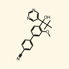 COc1cc(-c2ccc(C#N)cc2)ccc1C(O)(c1cncnc1)C(C)(C)C